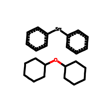 C1CCC(OC2CCCCC2)CC1.c1cc[c]([Sn][c]2ccccc2)cc1